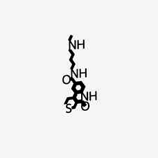 CCNCCCCCNC(=O)c1ccc2[nH]c(=O)c3c(c2c1)CCSC3